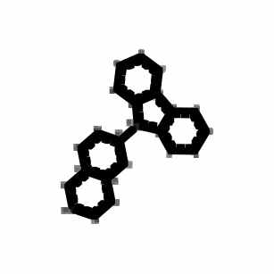 c1ccc2c(c1)c1ccccc1n2-c1ccc2cnccc2c1